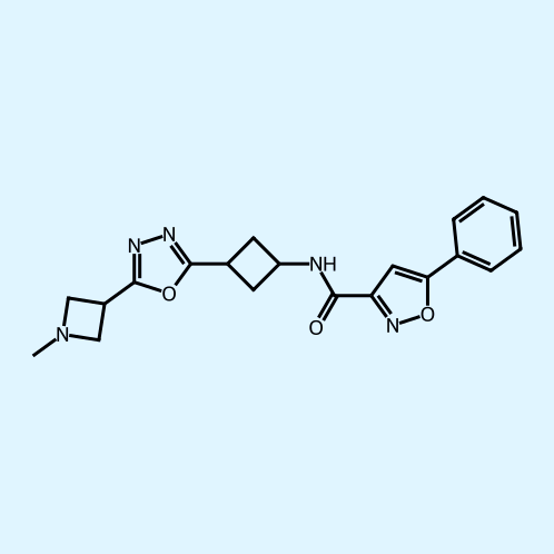 CN1CC(c2nnc(C3CC(NC(=O)c4cc(-c5ccccc5)on4)C3)o2)C1